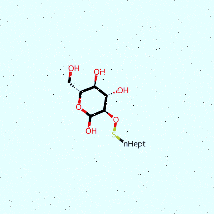 CCCCCCCSO[C@H]1C(O)O[C@H](CO)[C@@H](O)[C@@H]1O